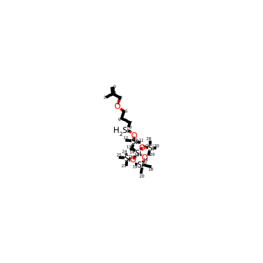 C=C(C)COCCC[SiH2]O[Si](C)(C)C(C)[Si](O[Si](C)(C)C)(O[Si](C)(C)C)O[Si](C)(C)C